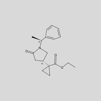 CCOC(=O)C1([C@@H]2CC(=O)N([C@@H](C)c3ccccc3)C2)CC1